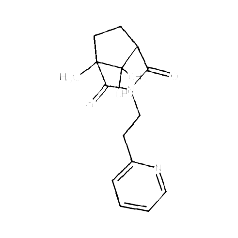 CC12CCC(C(=O)N(CCc3ccccn3)C1=O)C2(C)C